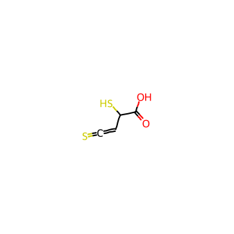 O=C(O)C(S)C=C=S